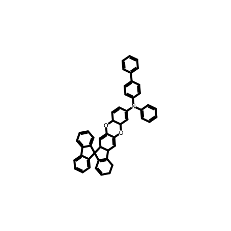 C1=CC2=C(CC1)C1C=C3OC4C=C(N(c5ccccc5)c5ccc(-c6ccccc6)cc5)C=CC4OC3=CC1C21c2ccccc2-c2ccccc21